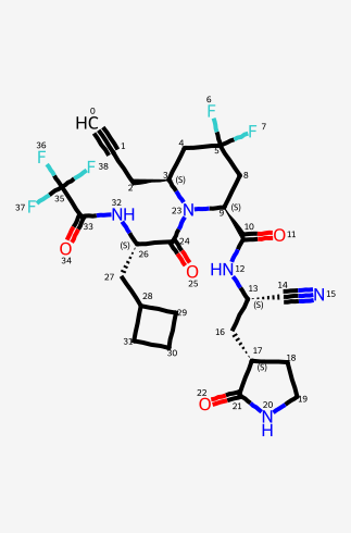 C#CC[C@H]1CC(F)(F)C[C@@H](C(=O)N[C@H](C#N)C[C@@H]2CCNC2=O)N1C(=O)[C@H](CC1CCC1)NC(=O)C(F)(F)F